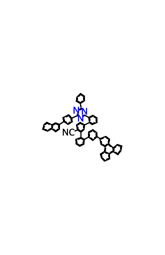 N#Cc1ccc(-c2ccccc2-c2nc(-c3ccccc3)nc(-c3ccc(-c4ccc5ccccc5c4)cc3)n2)cc1-c1ccccc1-c1cccc(-c2ccc3c4ccccc4c4ccccc4c3c2)c1